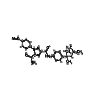 COc1ccc(-n2nc(C(=O)Nc3ccc(C(C)(C)CN(C)C)cc3)cc2C(N)=O)cc1